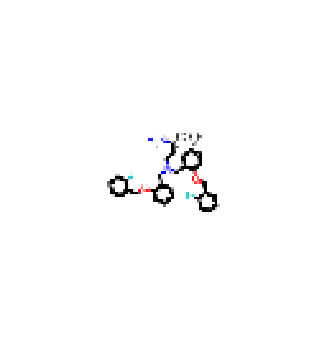 N[C@@H](CCN(Cc1ccccc1OCc1ccccc1F)Cc1ccccc1OCc1ccccc1F)C(=O)O